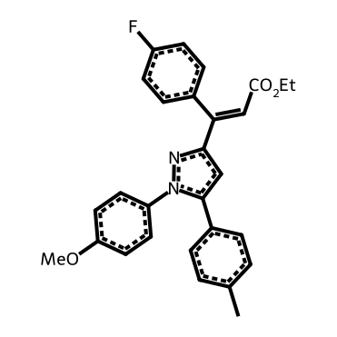 CCOC(=O)/C=C(\c1ccc(F)cc1)c1cc(-c2ccc(C)cc2)n(-c2ccc(OC)cc2)n1